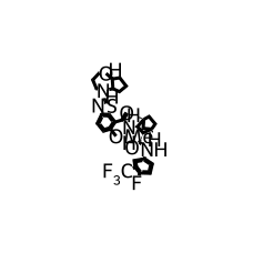 COc1ccc2nc(N3CCCO[C@H]4CCC[C@@H]43)sc2c1C(=O)N[C@@H]1[C@H]2CC[C@H](C2)[C@@H]1C(=O)Nc1ccc(F)c(C(F)(F)F)c1